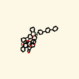 c1ccc(-c2ccc(-c3ccc(N(c4ccc(-c5ccc6c(c5)C5(c7ccccc7Oc7ccccc75)c5ccccc5-6)cc4)c4ccccc4-c4ccc5c(c4)-c4ccccc4C54c5ccccc5Oc5ccccc54)cc3)cc2)cc1